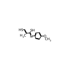 COc1ccc(/N=C(S)/C(C)=C/S)cc1